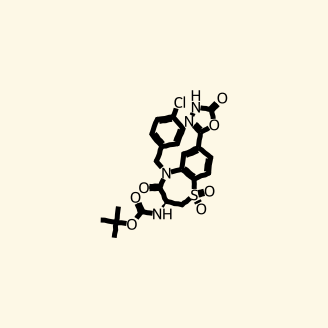 CC(C)(C)OC(=O)N[C@H]1CS(=O)(=O)c2ccc(-c3n[nH]c(=O)o3)cc2N(Cc2ccc(Cl)cc2)C1=O